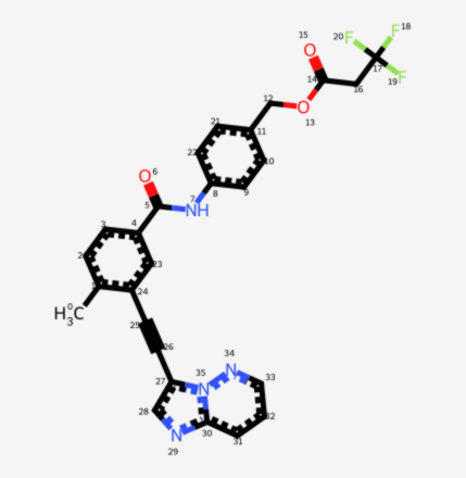 Cc1ccc(C(=O)Nc2ccc(COC(=O)CC(F)(F)F)cc2)cc1C#Cc1cnc2cccnn12